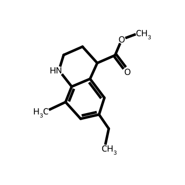 CCc1cc(C)c2c(c1)C(C(=O)OC)CCN2